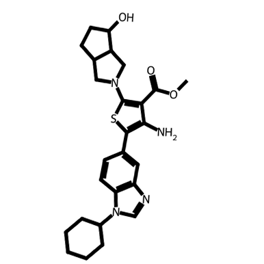 COC(=O)c1c(N2CC3CCC(O)C3C2)sc(-c2ccc3c(c2)ncn3C2CCCCC2)c1N